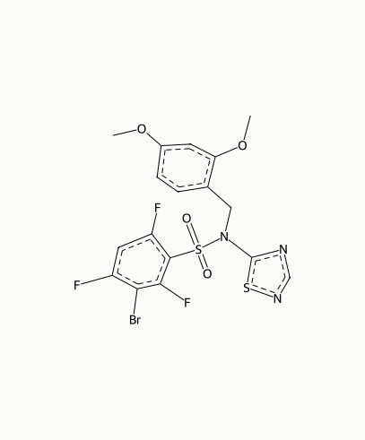 COc1ccc(CN(c2ncns2)S(=O)(=O)c2c(F)cc(F)c(Br)c2F)c(OC)c1